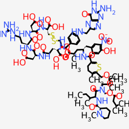 CCC(C)[C@H](NC(=O)[C@H]1CCCCN1C)C(=O)N(COC(=O)CC(C)C)[C@H](C[C@@H](OC(C)=O)C1=C(C)CCC(C(=O)N[C@@H](Cc2ccc(O)c([N+](=O)[O-])c2)C[C@H](C)C(=O)OCCSSC[C@H](NC(=O)[C@H](CC(=O)O)NC(=O)[C@H](CCCNC(=N)N)NC(=O)[C@H](CC(=O)O)NC(=O)CC[C@H](NC(=O)c2ccc(NCc3cnc4nc(N)[nH]c(=O)c4n3)cc2)C(=O)O)C(=O)O)=CS1)C(C)C